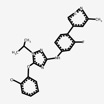 Cc1cc(-c2ccc(Nc3nc(Oc4ccccc4Cl)n(C(C)C)n3)cc2F)ccn1